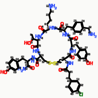 CC(O)C1NC(=O)[C@H](CCCCN)NC(=O)[C@@H](Cc2ccc(CN)cc2)NC(=O)[C@H](Cc2ccc(O)cc2)NC(=O)[C@H](NC(=O)CCc2ccc(Cl)cc2)CSSC[C@@H](C(=O)N[C@H](Cc2ccc(O)cc2)C(N)=O)NC1=O